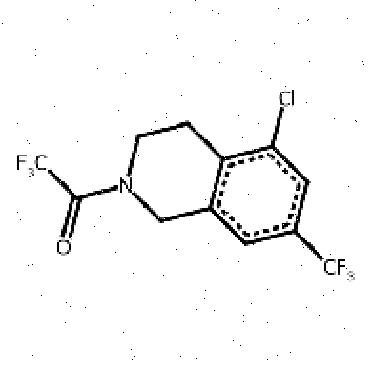 O=C(N1CCc2c(Cl)cc(C(F)(F)F)cc2C1)C(F)(F)F